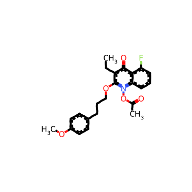 CCc1c(OCCCc2ccc(OC)cc2)n(OC(C)=O)c2cccc(F)c2c1=O